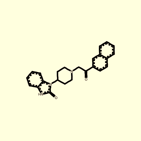 O=C(CN1CCC(n2c(=O)[nH]c3ccccc32)CC1)c1ccc2ccccc2c1